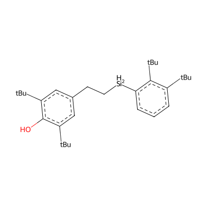 CC(C)(C)c1cc(CC[SiH2]c2cccc(C(C)(C)C)c2C(C)(C)C)cc(C(C)(C)C)c1O